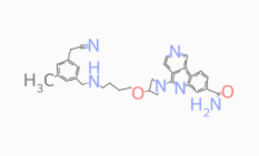 Cc1cc(CC#N)cc(CNCCCCOC2CN(c3nc4cc(C(N)=O)ccc4c4cnccc34)C2)c1